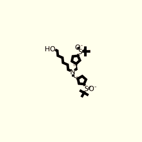 CC(C)(C)[S+]([O-])C1CC[C@@H](CN(CCCCCCO)C[C@H]2CCC([S+]([O-])C(C)(C)C)C2)C1